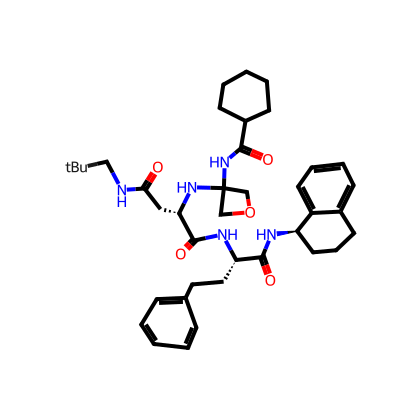 CC(C)(C)CNC(=O)C[C@H](NC1(NC(=O)C2CCCCC2)COC1)C(=O)N[C@@H](CCc1ccccc1)C(=O)N[C@@H]1CCCc2ccccc21